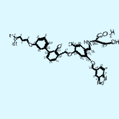 CCN(CC)CCCOc1cccc(-c2cccc(COc3cc(OCc4ccc5nonc5c4)c(CN[C@H](CO)C(=O)O)cc3Cl)c2Cl)c1